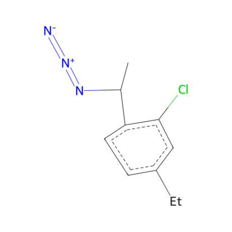 CCc1ccc(C(C)N=[N+]=[N-])c(Cl)c1